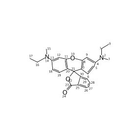 CCN(C)c1ccc2c(c1)Oc1cc(N(C)CC)ccc1C21OC(=O)c2ccccc21